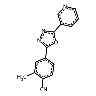 Cc1cc(-c2nnc(-c3cccnc3)o2)ccc1C#N